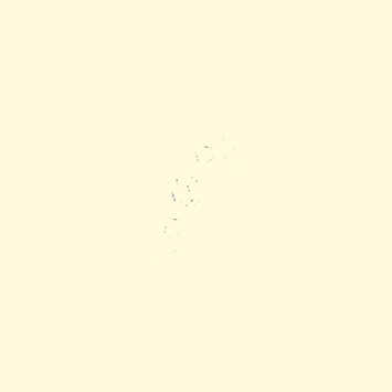 C=C(/C=C(/Cc1cnc(C=C(C)C)c(C)c1)NC)C(=O)N(C)Cc1cc(C(=C)C)c(C)cc1F